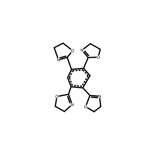 c1c(C2=NCCO2)c(C2=NCCO2)cc(C2=NCCO2)c1C1=NCCO1